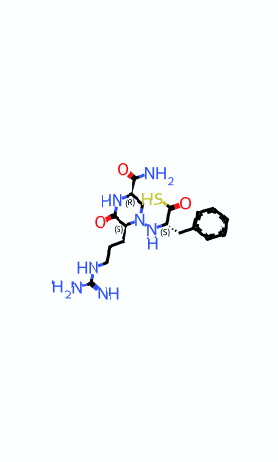 N=C(N)NCCC[C@H]1C(=O)N[C@@H](C(N)=O)CN1N[C@@H](Cc1ccccc1)C(=O)S